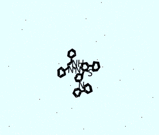 C1=C(c2ccccc2)NC(n2c3ccc(-n4c5ccccc5c5ccccc54)cc3c3c4sc5ccccc5c4ccc32)N=C1c1ccccc1